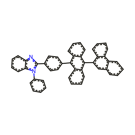 c1ccc(-n2c(-c3ccc(-c4c5ccccc5c(-c5cc6ccccc6c6ccccc56)c5ccccc45)cc3)nc3ccccc32)cc1